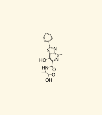 Cc1nc(C(=O)NC(C)C(=O)O)c(O)c2sc(-c3ccccc3)nc12